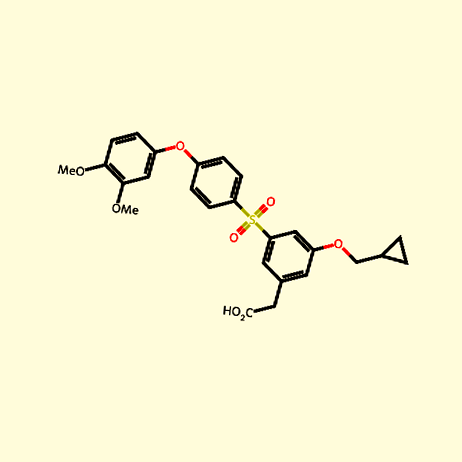 COc1ccc(Oc2ccc(S(=O)(=O)c3cc(CC(=O)O)cc(OCC4CC4)c3)cc2)cc1OC